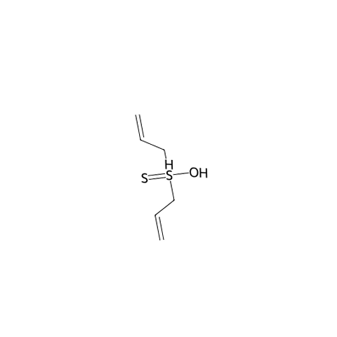 C=CC[SH](O)(=S)CC=C